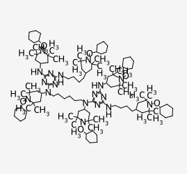 CC1(C)CC(CCCCNc2nc(NC3CC(C)(C)N(OC4CCCCC4)C(C)(C)C3)nc(N(CCCCCCN(c3nc(NCCCCC4CC(C)(C)N(OC5CCCCC5)C(C)(C)C4)nc(NC4CC(C)(C)N(OC5CCCCC5)C(C)(C)C4)n3)C3CC(C)(C)N(OC4CCCCC4)C(C)(C)C3)C3CC(C)(C)N(OC4CCCCC4)C(C)(C)C3)n2)CC(C)(C)N1OC1CCCCC1